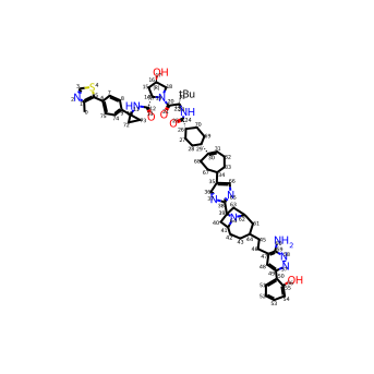 Cc1ncsc1-c1ccc(C2(NC(=O)[C@@H]3C[C@@H](O)CN3C(=O)[C@@H](NC(=O)[C@H]3CC[C@@H](C4=CCCC(c5cnc(C67CC8CCC(CCc9cc(-c%10ccccc%10O)nnc9N)CC(C6)N87)nc5)CC4)CC3)C(C)(C)C)CC2)cc1